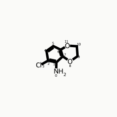 Nc1c(Cl)ccc2c1OCCO2